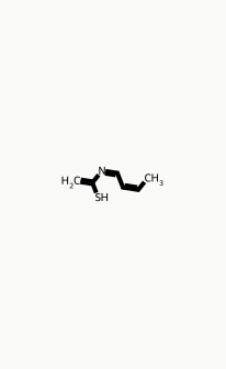 C=C(S)/N=C\C=C/C